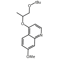 COc1ccc2c(OC(C)COC(C)(C)C)ccnc2c1